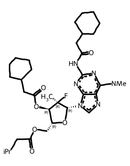 CNc1nc(NC(=O)CC2CCCCC2)nc2c1ncn2[C@@H]1O[C@H](COC(=O)CC(C)C)[C@@H](OC(=O)CC2CCCCC2)[C@@]1(C)F